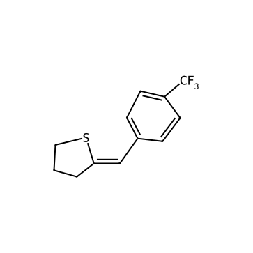 FC(F)(F)c1ccc(C=C2CCCS2)cc1